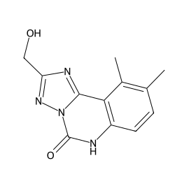 Cc1ccc2[nH]c(=O)n3nc(CO)nc3c2c1C